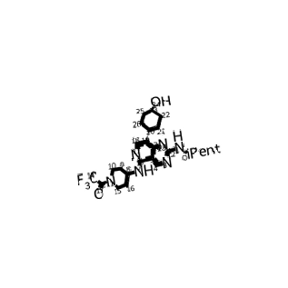 CCCC(C)Nc1ncc2c(NC3CCN(C(=O)C(F)(F)F)CC3)ncc([C@H]3CC[C@H](O)CC3)c2n1